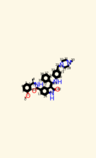 COc1cccc([C@@H](C)NC(=O)c2ccc3c(c2)/C(=C(/Nc2ccc(CN4CCN(C)CC4)cc2)c2ccccc2)C(=O)N3)c1